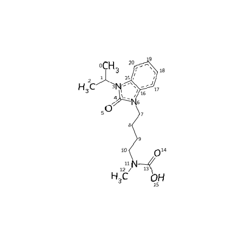 CC(C)n1c(=O)n(CCCCN(C)C(=O)O)c2ccccc21